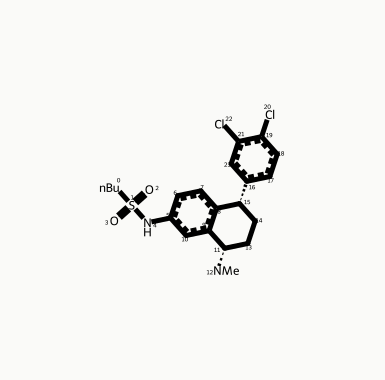 CCCCS(=O)(=O)Nc1ccc2c(c1)[C@@H](NC)CC[C@H]2c1ccc(Cl)c(Cl)c1